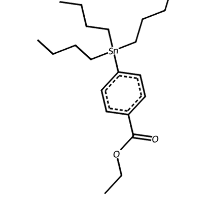 CCC[CH2][Sn]([CH2]CCC)([CH2]CCC)[c]1ccc(C(=O)OCC)cc1